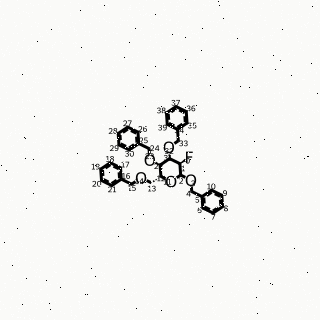 F[C@H]1C(OCc2ccccc2)O[C@H](COCc2ccccc2)[C@@H](OCc2ccccc2)[C@@H]1OCc1ccccc1